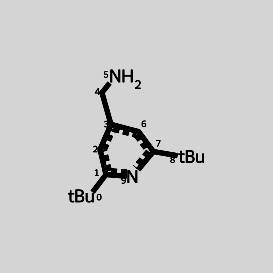 CC(C)(C)c1cc(CN)cc(C(C)(C)C)n1